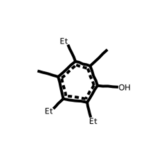 CCc1c(C)c(O)c(CC)c(CC)c1C